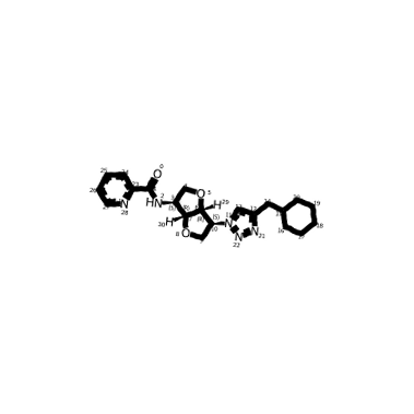 O=C(N[C@H]1CO[C@H]2[C@@H]1OC[C@@H]2n1cc(CC2CCCCC2)nn1)c1ccccn1